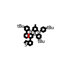 Cc1cc2c3c(c1)N(c1ccc(C(C)(C)C)cc1-c1ccccc1)c1ccc(-c4cccc5sccc45)cc1B3c1cc(C(C)(C)C)ccc1N2c1ccc(C(C)(C)C)cc1